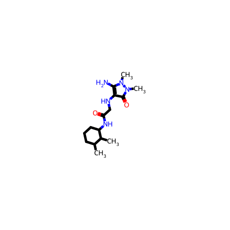 CC1CCCC(NC(=O)CNc2c(N)n(C)n(C)c2=O)C1C